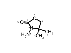 CC1(C)COC(=O)N1N